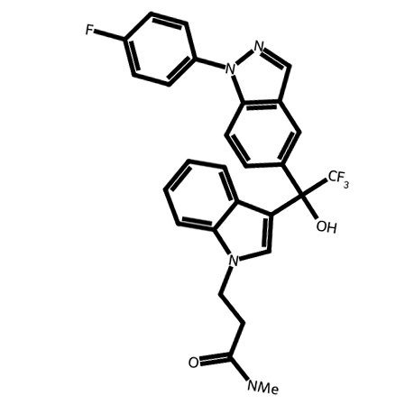 CNC(=O)CCn1cc(C(O)(c2ccc3c(cnn3-c3ccc(F)cc3)c2)C(F)(F)F)c2ccccc21